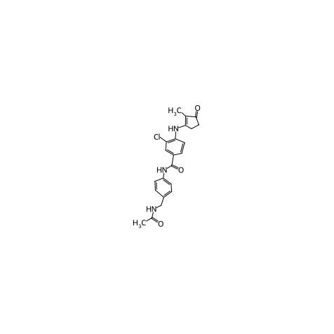 CC(=O)NCc1ccc(NC(=O)c2ccc(NC3=C(C)C(=O)CC3)c(Cl)c2)cc1